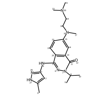 Cc1cc(Nc2nn(C(C)C)c(=O)c3cc(N(C)CCN(C)C)ccc23)n[nH]1